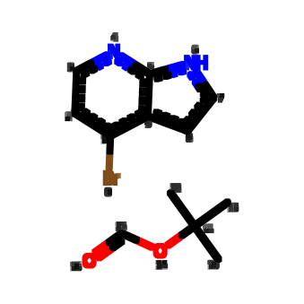 Brc1ccnc2[nH]ccc12.CC(C)(C)OC=O